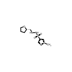 Cn1cc(S(=O)(=O)NNC[C@@H]2CCCO2)cn1